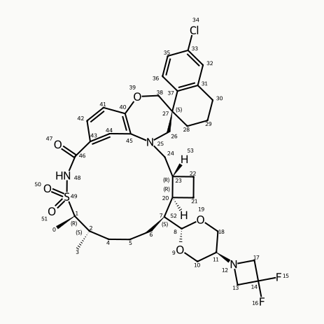 C[C@@H]1[C@@H](C)CCC[C@H]([C@H]2OC[C@H](N3CC(F)(F)C3)CO2)[C@@H]2CC[C@H]2CN2C[C@@]3(CCCc4cc(Cl)ccc43)COc3ccc(cc32)C(=O)NS1(=O)=O